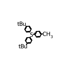 Cc1ccc([S+](c2ccc(C(C)(C)C)cc2)c2ccc(C(C)(C)C)cc2)cc1